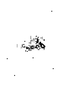 CCOC(=O)c1nc2c([nH]1)CN([C@H]1CO[C@@H](c3cc(F)ccc3F)[C@@H](NC(=O)OC(C)(C)C)C1)C2